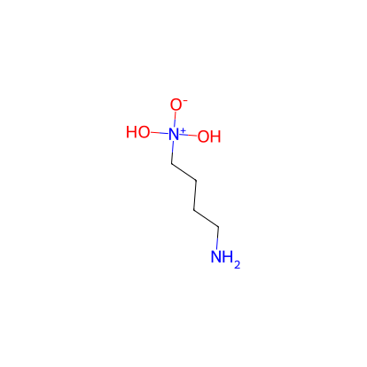 NCCCC[N+]([O-])(O)O